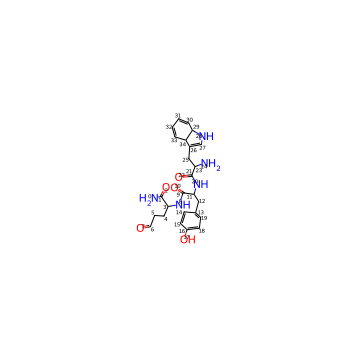 NC(=O)C(CCC=O)NC(=O)C(Cc1ccc(O)cc1)NC(=O)C(N)CC1=CNC2C=CC=CC12